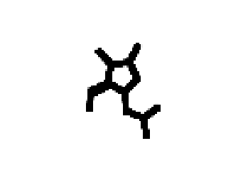 C/C=C1\C(SC(C)C)CC(C)C1C